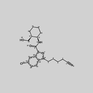 N#CCCCCn1nc(C(=O)N[C@@H]2CCCC[C@@H]2CO)c2cc(Cl)ccc21